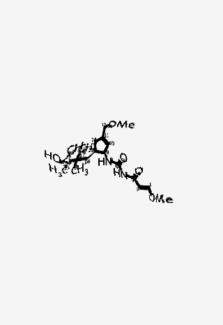 CO/C=C/C(=O)NC(=O)N[C@@H]1C=C(COC)C[C@@H]1CC(C)(C)[Si](C)(C)O